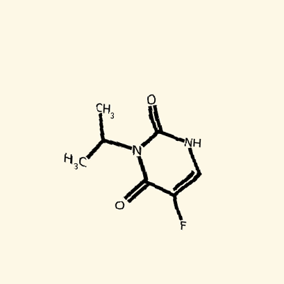 CC(C)n1c(=O)[nH]cc(F)c1=O